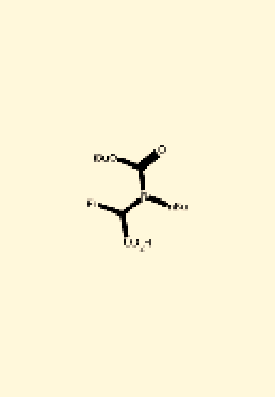 CCCCN(C(=O)OCC(C)C)C(CC)C(=O)O